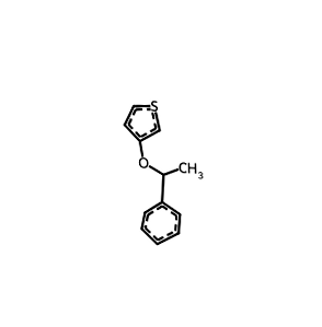 CC(Oc1ccsc1)c1ccccc1